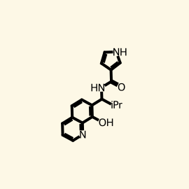 CC(C)C(NC(=O)c1cc[nH]c1)c1ccc2cccnc2c1O